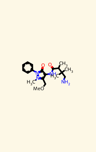 COCc1c(NC(=O)C(C)C(C)(C)CN)c(=O)n(-c2ccccc2)n1C